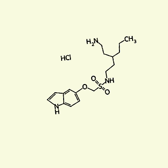 CCCC(CCN)CCNS(=O)(=O)COc1ccc2[nH]ccc2c1.Cl